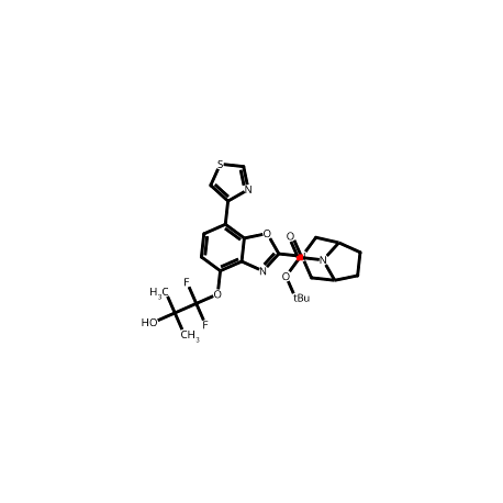 CC(C)(C)OC(=O)N1C2CCC1CN(c1nc3c(OC(F)(F)C(C)(C)O)ccc(-c4cscn4)c3o1)C2